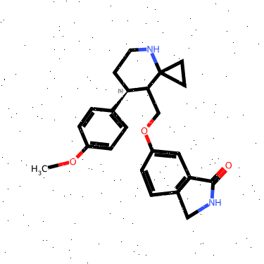 COc1ccc([C@H]2CCNC3(CC3)C2COc2ccc3c(c2)C(=O)NC3)cc1